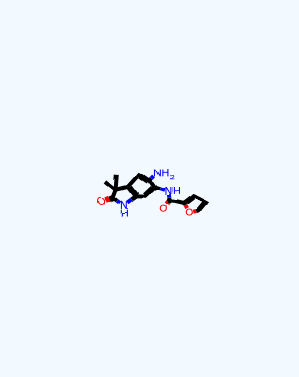 CC1(C)C(=O)Nc2cc(NC(=O)c3ccco3)c(N)cc21